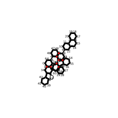 c1ccc(N(c2ccc(-c3ccc4c(ccc5ccccc54)c3)cc2)c2ccccc2-c2cccc3c2oc2ccccc23)c(-c2ccccc2-n2c3ccccc3c3ccccc32)c1